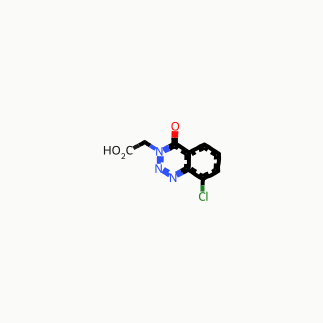 O=C(O)Cn1nnc2c(Cl)cccc2c1=O